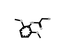 COc1cccc(OC)c1NC(=O)CBr